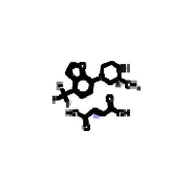 C[C@H]1CN(c2ccc(C(F)(F)F)c3ccoc23)CCN1.O=C(O)/C=C/C(=O)O